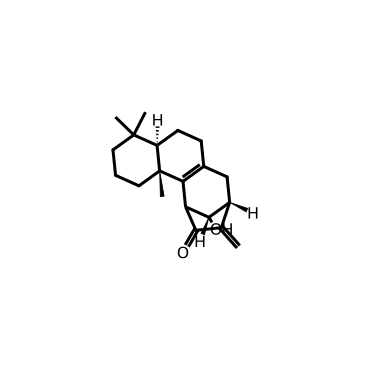 C=C1C(=O)C2C3=C(CC[C@@H]4C(C)(C)CCC[C@@]34C)C[C@H]1[C@@H]2O